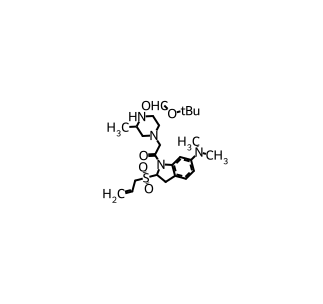 C=CCS(=O)(=O)C1Cc2ccc(N(C)C)cc2N1C(=O)CN1CCNC(C)C1.CC(C)(C)OC=O